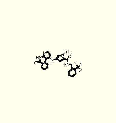 Cn1cc(Nc2ccnc3[nH]c(=O)c4ccccc4c23)cc1C(=O)NCc1ccccc1C(F)(F)F